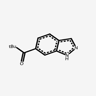 CC(C)(C)C(=O)c1ccc2cn[nH]c2c1